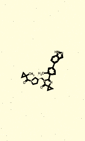 Cc1cc(-c2ccc3[nH]ncc3c2)ccc1C1=NC2(CC2)C(=O)N1C[C@@H]1CCN(C(=O)C2(C)CC2)C1